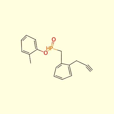 C#CCc1ccccc1C[PH](=O)Oc1ccccc1C